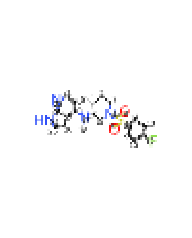 C[C@@H]1CCN(S(=O)(=O)c2ccc(F)cc2)C[C@@H]1N(C)c1ccnc2[nH]ccc12